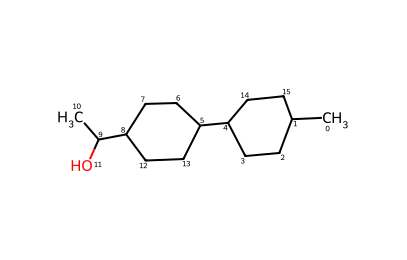 CC1CCC(C2CCC(C(C)O)CC2)CC1